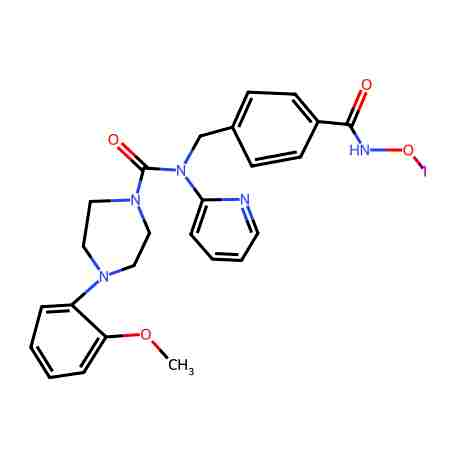 COc1ccccc1N1CCN(C(=O)N(Cc2ccc(C(=O)NOI)cc2)c2ccccn2)CC1